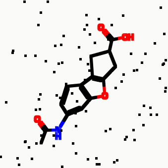 CC(=O)Nc1ccc2c3c(oc2c1)CC(C(=O)O)C3